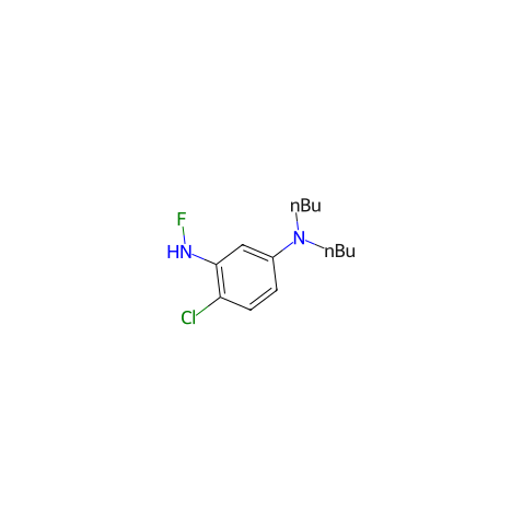 CCCCN(CCCC)c1ccc(Cl)c(NF)c1